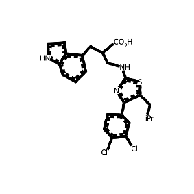 CC(C)Cc1sc(NCC(Cc2cccc3[nH]ccc23)C(=O)O)nc1-c1ccc(Cl)c(Cl)c1